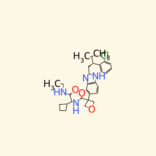 CCNC(=O)[C@H](NC(=O)C1(c2ccc3[nH]c(C[C@H](c4ccccc4Cl)C(C)C)nc3c2)COC1)C1CCC1